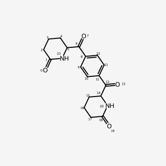 O=C1CCCC(C(=O)c2ccc(C(=O)C3CCCC(=O)N3)cc2)N1